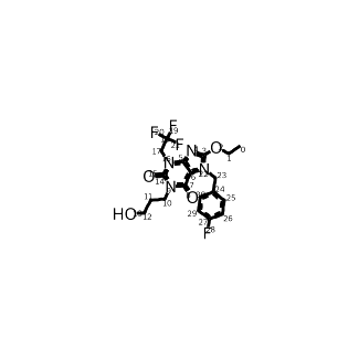 CCOc1nc2c(c(=O)n(CCCO)c(=O)n2CC(F)(F)F)n1Cc1ccc(F)cc1